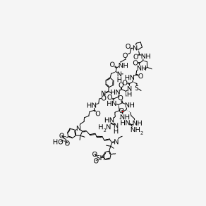 CC\N=C(/C=C/C=C/C=C/C=C1/N(CCCCCC(=O)NCCO/N=C(\C)c2ccc(C[C@H](NC)C(=O)NCCOCC(=O)N3CCC[C@H]3C(=O)N[C@@H](CC(C)C)C(=O)NCC(=O)N[C@@H](CSC)C(=O)N[C@@H](C)C(=O)NCC(=O)N[C@H](CCCNC(=N)N)C(=O)N[C@H](CCCNC(=N)N)C(=O)NC)cc2)c2ccc(S(=O)(=O)O)cc2C1(C)C)C(C)(C)c1cc([SH](=O)=O)ccc1C